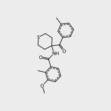 COc1cccc(C(=O)NC2(C(=O)c3cccc(C)c3)CCSCC2)c1C